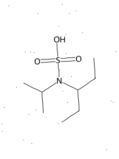 CCC(CC)N(C(C)C)S(=O)(=O)O